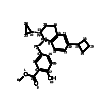 COC(=O)c1cc(SN2c3ccc(C4CCC4)cc3CC[C@H]2C2CC2)ccc1O